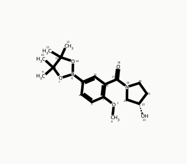 COc1ccc(B2OC(C)(C)C(C)(C)O2)cc1C(=O)N1CC[C@H](O)C1